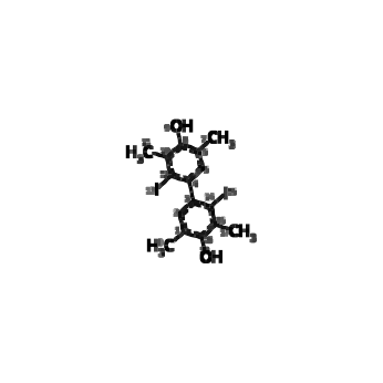 Cc1cc(-c2cc(C)c(O)c(C)c2I)c(I)c(C)c1O